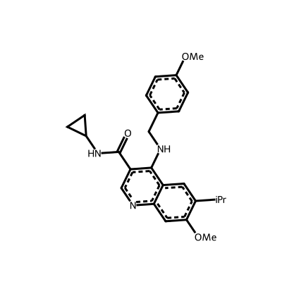 COc1ccc(CNc2c(C(=O)NC3CC3)cnc3cc(OC)c(C(C)C)cc23)cc1